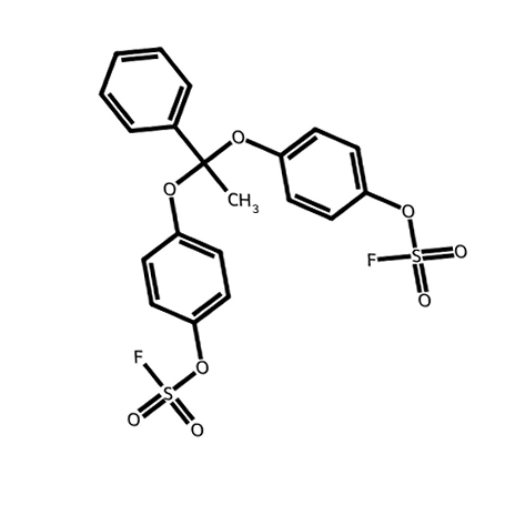 CC(Oc1ccc(OS(=O)(=O)F)cc1)(Oc1ccc(OS(=O)(=O)F)cc1)c1ccccc1